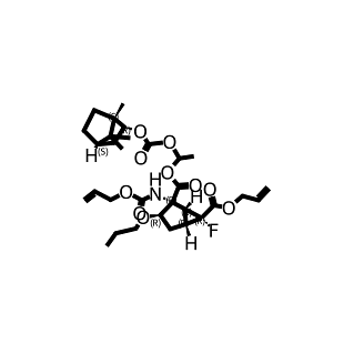 C=CCOC(=O)N[C@@]1(C(=O)OC(C)OC(=O)O[C@@H]2C[C@@H]3CC[C@@]2(C)C3(C)C)[C@H](OCCC)C[C@@H]2[C@H]1[C@@]2(F)C(=O)OCC=C